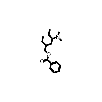 CCC(COC(=O)c1ccccc1)CC(CC)N(C)C